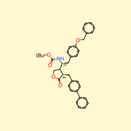 CC(C)(C)OC(=O)N[C@@H](Cc1ccc(OCc2ccccc2)cc1)C1COC(=O)[C@@H]1Cc1ccc(-c2ccccc2)cc1